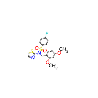 COc1ccc(CN(c2nccs2)S(=O)(=O)c2ccc(F)cc2)c(OC)c1